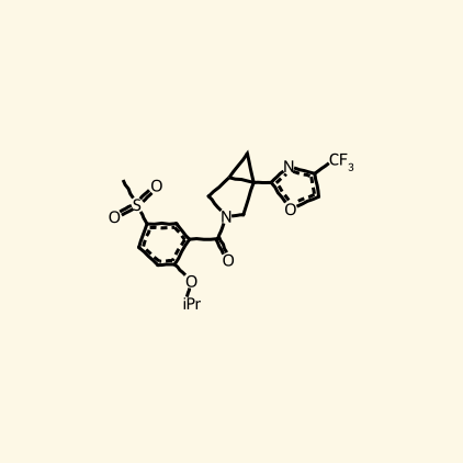 CC(C)Oc1ccc(S(C)(=O)=O)cc1C(=O)N1CC2CC2(c2nc(C(F)(F)F)co2)C1